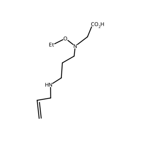 C=CCNCCCN(CC(=O)O)OCC